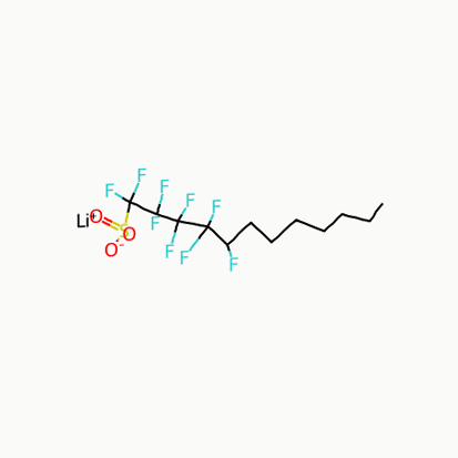 CCCCCCCC(F)C(F)(F)C(F)(F)C(F)(F)C(F)(F)S(=O)(=O)[O-].[Li+]